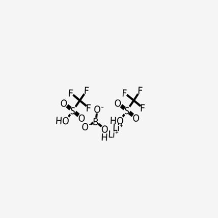 O=S(=O)(O)C(F)(F)F.O=S(=O)(O)C(F)(F)F.[Li+].[Li+].[O-]B([O-])O